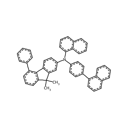 CC1(C)c2cc(N(c3ccc(-c4cccc5ccccc45)cc3)c3cccc4ccccc34)ccc2-c2c(-c3ccccc3)cccc21